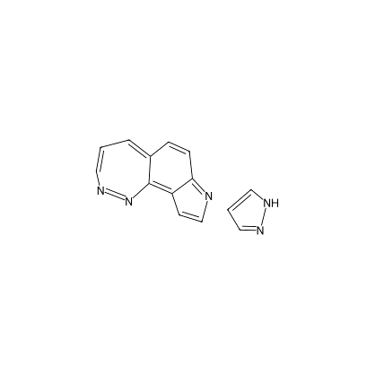 c1cn[nH]c1.c1cnnc2c(c1)ccc1nccc12